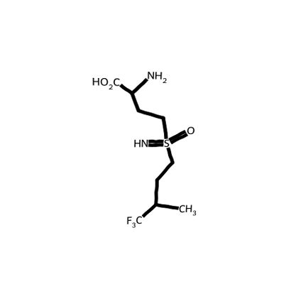 CC(CCS(=N)(=O)CCC(N)C(=O)O)C(F)(F)F